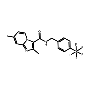 Cc1ccn2c(C(=O)NCc3ccc(S(F)(F)(F)(F)F)cc3)c(C)nc2c1